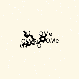 COC(=O)C(C)(C)CCCN(CCCc1ccc(C)o1)C(=O)c1cc(OC)c(C)c(OC)c1